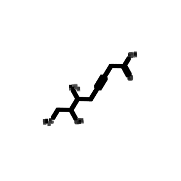 CCC(O)C(N)CC#CCC(=O)O